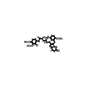 COc1ccc(OC)c(Cc2c(CNC(=O)CCC(C)Cc3ccc(OC)c(OC)c3Cl)nc3ccc(Cl)nn23)c1